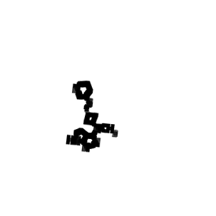 CN(c1ncnc2[nH]ccc12)[C@H]1C[C@@H](CSc2cccnc2)C1